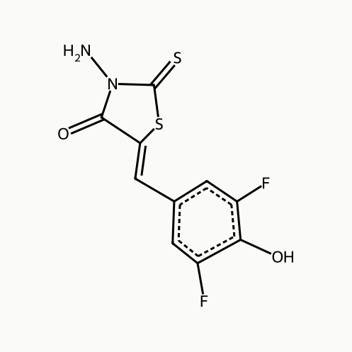 NN1C(=O)C(=Cc2cc(F)c(O)c(F)c2)SC1=S